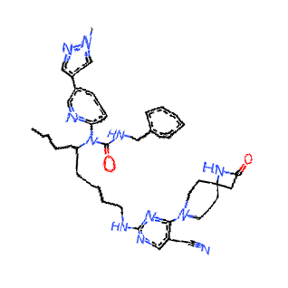 CCCC(CCCCNc1ncc(C#N)c(N2CCC3(CC2)CC(=O)N3)n1)N(C(=O)NCc1ccccc1)c1ccc(-c2cnn(C)c2)cn1